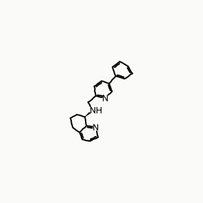 c1ccc(-c2ccc(CN[C@@H]3CCCc4cccnc43)nc2)cc1